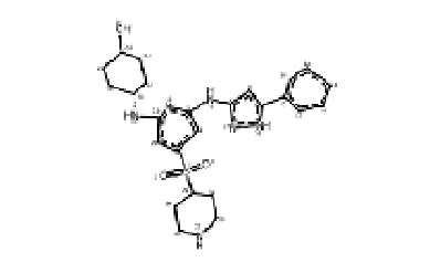 O=S(=O)(c1cc(Nc2cc(-c3ccccc3)[nH]n2)nc(N[C@H]2CC[C@H](O)CC2)c1)C1CCNCC1